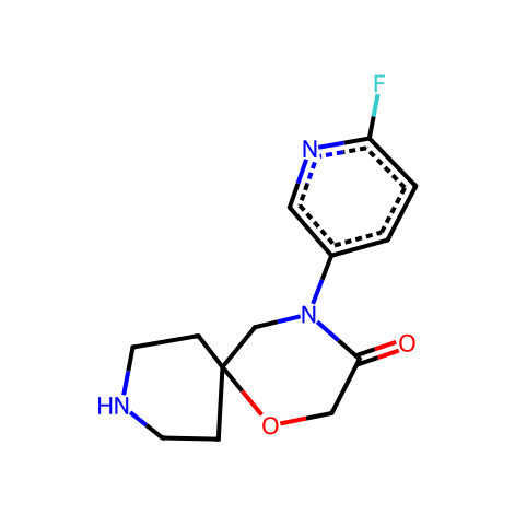 O=C1COC2(CCNCC2)CN1c1ccc(F)nc1